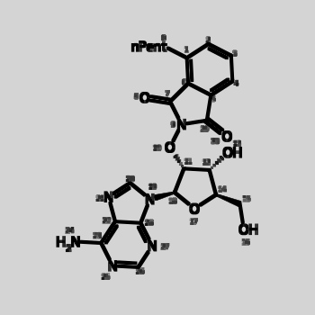 CCCCCc1cccc2c1C(=O)N(O[C@@H]1[C@H](O)[C@@H](CO)O[C@H]1n1cnc3c(N)ncnc31)C2=O